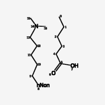 CCCCCC(=O)O.CCCCCCCCCCCCCCN(C)C